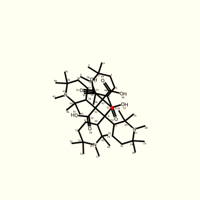 CN1C(C)(C)CCC(CC(C2CCC(C)(C)N(C)C2(C)C)(C2CCC(C)(C)N(C)C2(C)C)C(C(=O)O)(C2CCC(C)(C)N(C)C2(C)C)C(C(=O)O)(C(=O)O)C(=O)O)C1(C)C